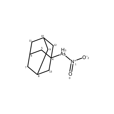 O=[N+]([O-])[AsH]C12CC3CC(CC(C3)C1)C2